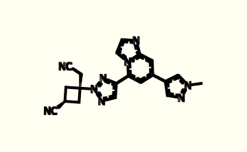 Cn1cc(-c2cc(-c3cnn([C@]4(CC#N)C[C@@H](C#N)C4)n3)n3ccnc3c2)cn1